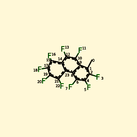 Cc1c(F)c(F)c(F)c2c1c(F)c(F)c1c(F)c(F)c(F)c(F)c12